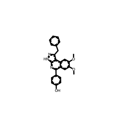 COc1cc2c(-c3ccc(O)cc3)nc3[nH]nc(Cc4ccccc4)c3c2cc1OC